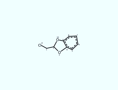 ClCC1Oc2ccccc2O1